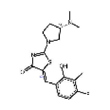 Cc1c(F)ccc(/C=C2\SC(N3CC[C@H](N(C)C)C3)=NC2=O)c1O